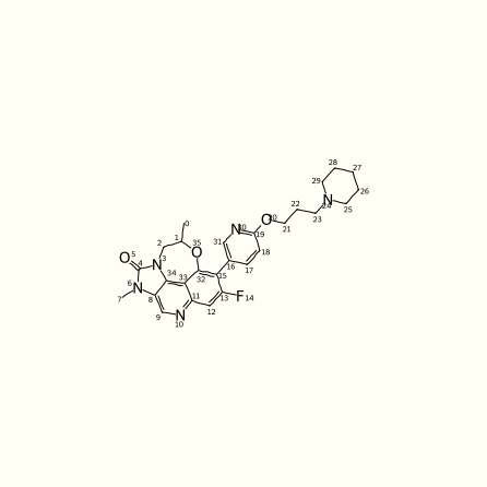 CC1Cn2c(=O)n(C)c3cnc4cc(F)c(-c5ccc(OCCCN6CCCCC6)nc5)c(c4c32)O1